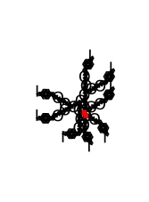 ICc1ccc(CCOCCOCC(COCCOCCc2ccc(CI)cc2)OCC(COC(COCCOCCc2ccc(CI)cc2)COCCOCCc2ccc(CI)cc2)OC(COC(COCCOCCc2ccc(CI)cc2)COCCOCCc2ccc(CI)cc2)COC(COCCOCCc2ccc(CI)cc2)COCCOCCc2ccc(CI)cc2)cc1